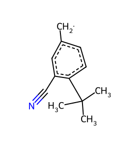 [CH2]c1ccc(C(C)(C)C)c(C#N)c1